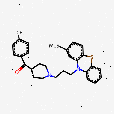 CSc1ccc2c(c1)N(CCCN1CCC(C(=O)c3ccc(C(F)(F)F)cc3)CC1)c1ccccc1S2